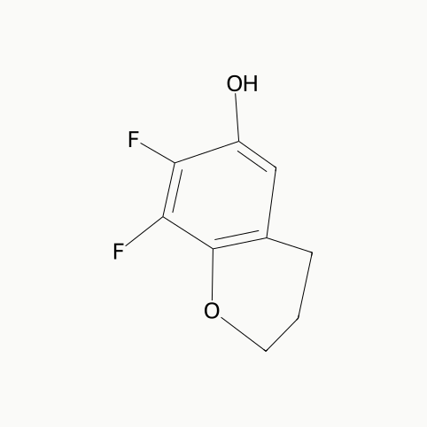 Oc1cc2c(c(F)c1F)OCCC2